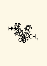 CC1CC2(CCN1Cc1ccccc1)COC(=O)N2c1cccc(F)c1.O=C(O)C(F)(F)F